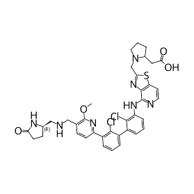 COc1nc(-c2cccc(-c3cccc(Nc4nccc5sc(CN6CCCC6CC(=O)O)nc45)c3Cl)c2Cl)ccc1CNC[C@H]1CCC(=O)N1